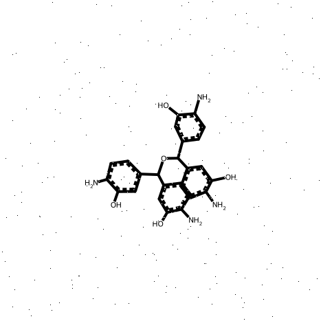 Nc1ccc(C(OC(c2ccc(N)c(O)c2)c2ccc(N)c(O)c2)c2ccc(N)c(O)c2)cc1O